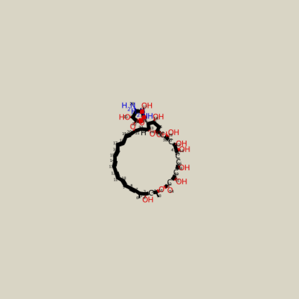 C[C@H]1C[C@H](O)[C@@H](C)/C=C/C=C/C=C/C=C/C=C/C=C/C=C/C(O[C@@H]2OC[C@@H](O)[C@H](N)[C@@H]2O)C[C@@H]2OC(O)(CC(O)CC(O)C(O)CCC(O)CC(O)CC(=O)O1)C[C@H](O)[C@H]2C(=O)NN